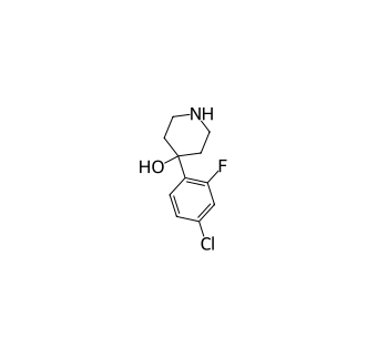 OC1(c2ccc(Cl)cc2F)CCNCC1